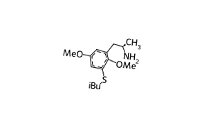 CCC(C)Sc1cc(OC)cc(C[C@@H](C)N)c1OC